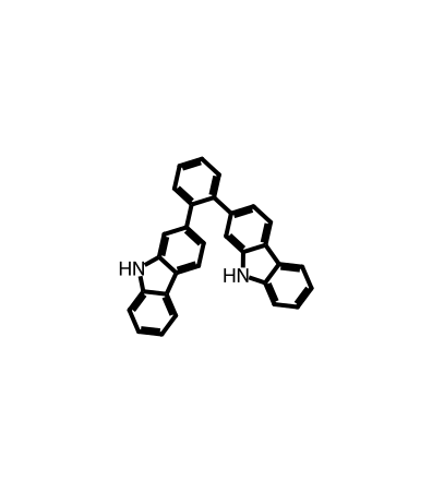 c1ccc(-c2ccc3c(c2)[nH]c2ccccc23)c(-c2ccc3c(c2)[nH]c2ccccc23)c1